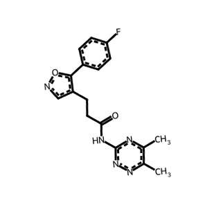 Cc1nnc(NC(=O)CCc2cnoc2-c2ccc(F)cc2)nc1C